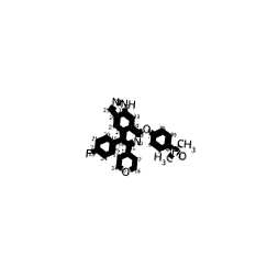 CP(C)(=O)c1ccc(Oc2nc(C3CCOCC3)c(-c3ccc(F)cc3)c3cc4cn[nH]c4cc23)cc1